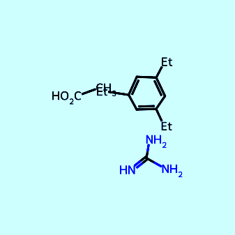 CC(=O)O.CCc1cc(CC)cc(CC)c1.N=C(N)N